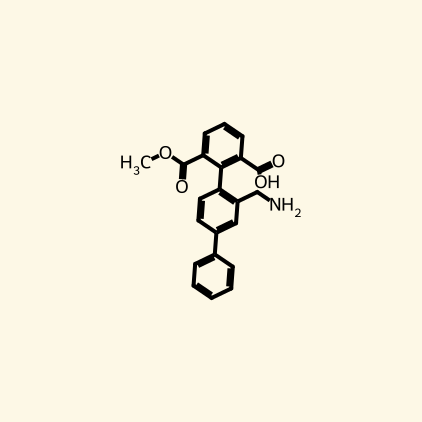 COC(=O)c1cccc(C(=O)O)c1-c1ccc(-c2ccccc2)cc1CN